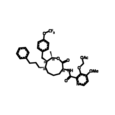 COc1ccnc(C(=O)N[C@H]2CCC[C@H](CCCc3ccccc3)[C@@H](Cc3ccc(OC(F)(F)F)cc3)[C@H](C)OC2=O)c1OCOC(C)=O